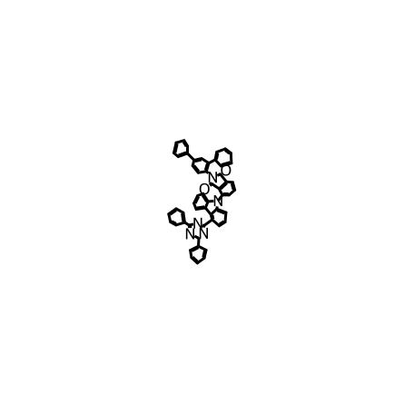 O=C1c2cccc(-n3c4ccccc4c4c(-c5nc(-c6ccccc6)nc(-c6ccccc6)n5)cccc43)c2C(=O)N1c1ccc(-c2ccccc2)cc1-c1ccccc1